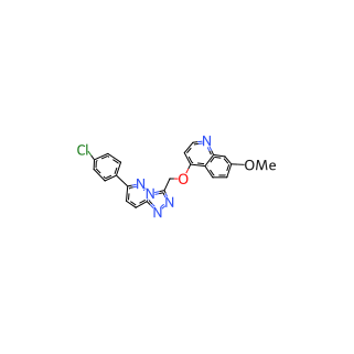 COc1ccc2c(OCc3nnc4ccc(-c5ccc(Cl)cc5)nn34)ccnc2c1